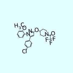 COc1ccccc1-n1nc(OC2CCN(C(=O)C(F)(F)F)CC2)cc1-c1ccc(Cl)cc1